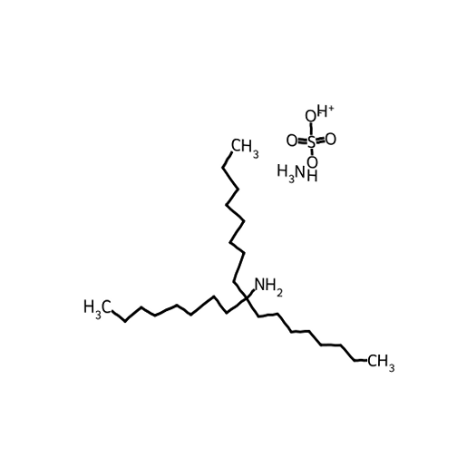 CCCCCCCCC(N)(CCCCCCCC)CCCCCCCC.N.O=S(=O)([O-])O.[H+]